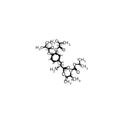 CC(C)OC(=O)OC(C)[C@H](C)OC(=O)[C@@H](N)Cc1ccc(OC(=O)C(C)C)c(OC(=O)C(C)C)c1